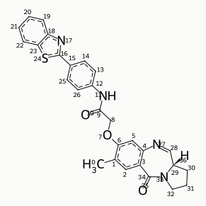 Cc1cc2c(cc1OCC(=O)Nc1ccc(-c3nc4ccccc4s3)cc1)N=C[C@@H]1CCCN1C2=O